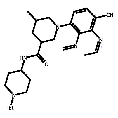 C=Nc1c(N2CC(C)CC(C(=O)NC3CCN(CC)CC3)C2)ccc(C#N)c1/N=C\C